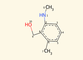 CNc1cccc(C)c1CO